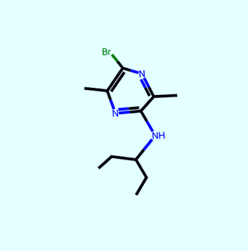 CCC(CC)Nc1nc(C)c(Br)nc1C